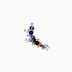 CN(C)CCS(=O)(=O)c1cc(Cl)c(-c2cc3cnc(Nc4ccc(N5CCNCC5)c(C(F)(F)F)c4)nc3n(CC(F)(F)F)c2=O)c(Cl)c1